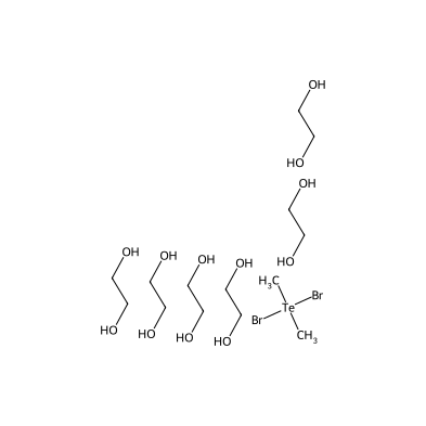 C[Te](C)(Br)Br.OCCO.OCCO.OCCO.OCCO.OCCO.OCCO